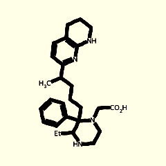 CCC1NCCN(CC(=O)O)C1(CCCC(C)c1ccc2c(n1)NCCC2)c1ccccc1